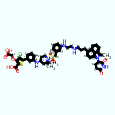 C=c1c2cccc3c(CCCNCCNc4cccc(CS(=O)(=O)N5CC[C@H](Nc6cccc(-c7sc(C(=O)O)c(OCC(=O)O)c7Cl)c6)CC5(C)C)c4)ccc(c32)n1C1CCC(=O)NC1=O